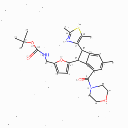 Cc1cc(C(=O)N2CCOCC2)c2c(c1)C(c1nc(C)sc1C)C2c1ccc(CNC(=O)OC(C)(C)C)o1